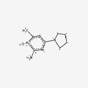 Cc1cc(N2CCCC2)nc(N)[n+]1[O-]